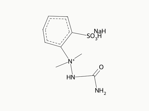 C[N+](C)(NC(N)=O)c1ccccc1S(=O)(=O)O.[NaH]